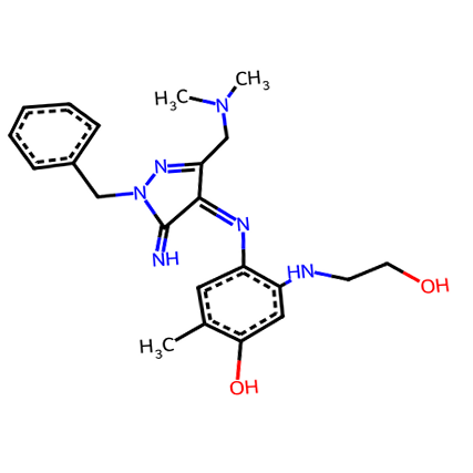 Cc1cc(N=C2C(=N)N(Cc3ccccc3)N=C2CN(C)C)c(NCCO)cc1O